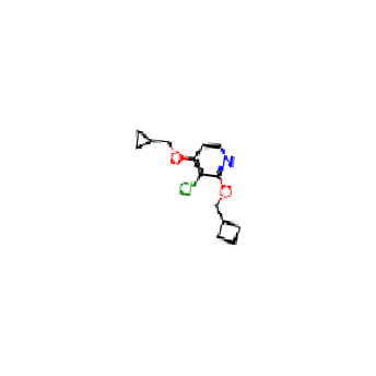 Clc1c(OCC2CC2)ccnc1OCC1CCC1